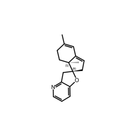 CC1=CC2=CC[C@@]3(Cc4ncccc4O3)[C@@]2(C)CC1